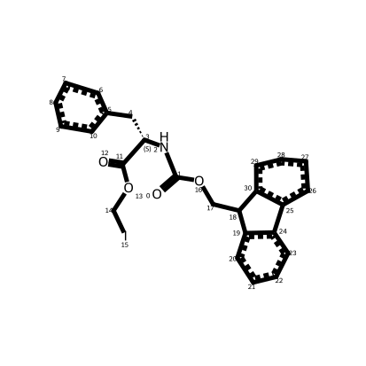 O=C(N[C@@H](Cc1ccccc1)C(=O)OCI)OCC1c2ccccc2-c2ccccc21